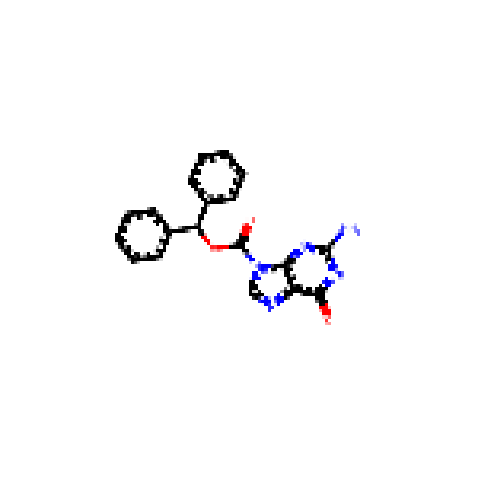 Nc1nc2c(ncn2C(=O)OC(c2ccccc2)c2ccccc2)c(=O)[nH]1